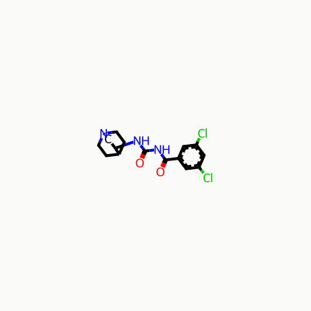 O=C(NC(=O)c1cc(Cl)cc(Cl)c1)NC1CN2CCC1CC2